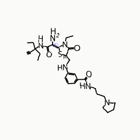 C#CC(CC)(CC)NC(=O)/C(N)=C1\S[C@H](CNc2cccc(C(=O)NCCCN3CCCC3)c2)C(=O)N1CC